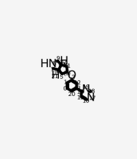 c1cc(O[C@@H]2C[C@H]3CNC[C@H]3C2)cc(-c2ccncn2)c1